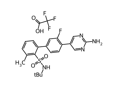 Cc1cccc(-c2ccc(-c3cnc(N)nc3)c(F)c2)c1S(=O)(=O)NC(C)(C)C.O=C(O)C(F)(F)F